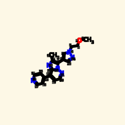 COCCn1cc(-c2c(C)nc3c(-c4ccncc4)ccnn23)cn1